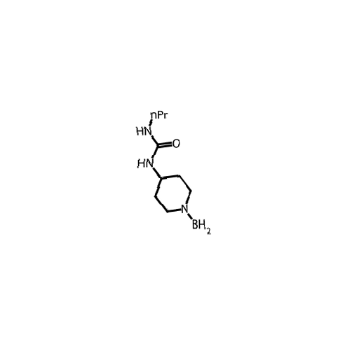 BN1CCC(NC(=O)NCCC)CC1